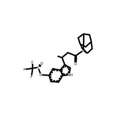 CC(CC(=O)N1C2CC3CC(C2)CC1C3)c1c[nH]c2ccc(OS(=O)C(F)(F)F)cc12